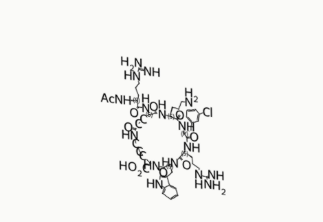 CC(=O)N[C@@H](CCCNC(=N)N)C(=O)N[C@H]1CCC(=O)NCCCC(C(=O)O)NC(=O)[C@H](Cc2c[nH]c3ccccc23)NC(=O)[C@H](CCCNC(=N)N)NC(=O)[C@@H](Cc2cccc(Cl)c2)NC(=O)[C@H](CCCN)NC1=O